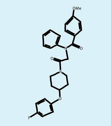 COc1ccc(C(=O)N(CC(=O)N2CCC(Oc3ccc(F)cc3)CC2)c2ccccc2)cc1